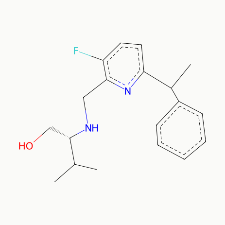 CC(c1ccccc1)c1ccc(F)c(CN[C@@H](CO)C(C)C)n1